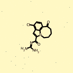 NC(N)=NC(=O)c1cc2c(Cl)ccc3c2n1CCCCC3=O